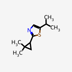 CC(C)c1cnc(C2CC2(C)C)s1